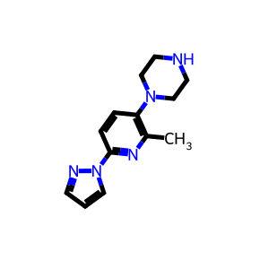 Cc1nc(-n2cccn2)ccc1N1CCNCC1